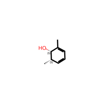 CC1=CC=C[C@H](C)[C@@H]1O